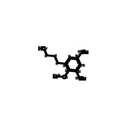 CCOc1c(CCCO)cc(C(C)(C)C)cc1C(C)(C)C